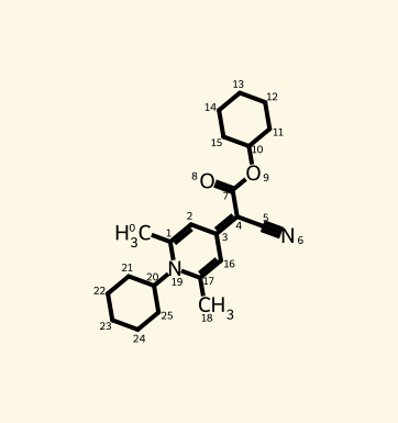 CC1=CC(=C(C#N)C(=O)OC2CCCCC2)C=C(C)N1C1CCCCC1